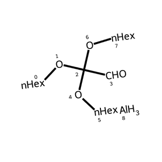 CCCCCCOC(C=O)(OCCCCCC)OCCCCCC.[AlH3]